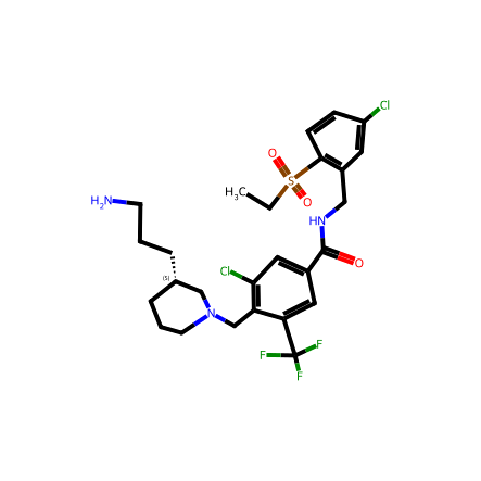 CCS(=O)(=O)c1ccc(Cl)cc1CNC(=O)c1cc(Cl)c(CN2CCC[C@H](CCCN)C2)c(C(F)(F)F)c1